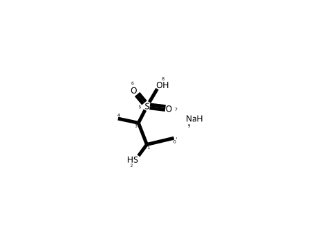 [CH2]C(S)C(C)S(=O)(=O)O.[NaH]